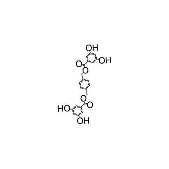 O=C(OCc1ccc(COC(=O)c2cc(O)cc(O)c2)cc1)c1cc(O)cc(O)c1